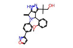 C=C1c2[nH]nc(C(C)(C)CO)c2C(c2ccccc2OC)N1c1ccc(-c2ccon2)cc1